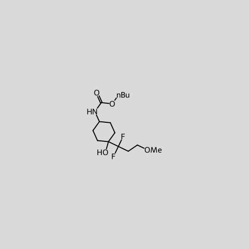 CCCCOC(=O)NC1CCC(O)(C(F)(F)CCOC)CC1